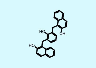 Oc1ccc2ccccc2c1Cc1cccc(Cc2c(O)ccc3ccccc23)c1O